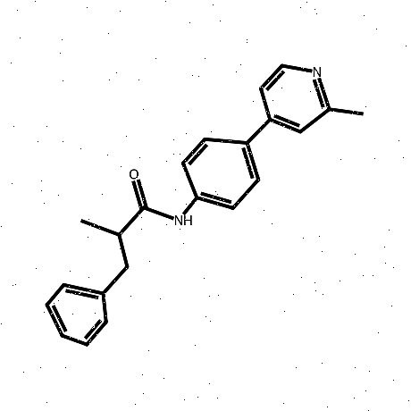 Cc1cc(-c2ccc(NC(=O)C(C)Cc3ccccc3)cc2)ccn1